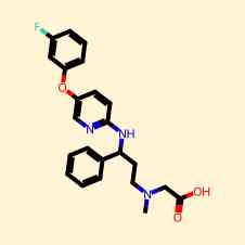 CN(CCC(Nc1ccc(Oc2cccc(F)c2)cn1)c1ccccc1)CC(=O)O